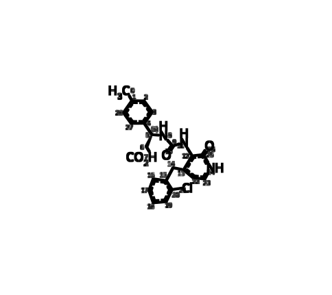 Cc1ccc([C@H](CC(=O)O)NC(=O)Nc2c(Cc3ccccc3Cl)cc[nH]c2=O)cc1